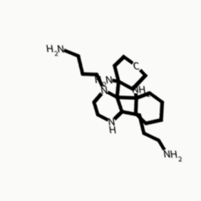 NCCCC1NCCN(CCCN)C1(C1(N)CCCCC1)C1(N)CCCCC1